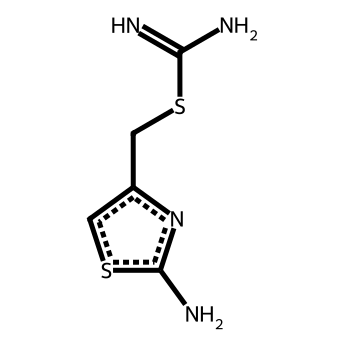 N=C(N)SCc1csc(N)n1